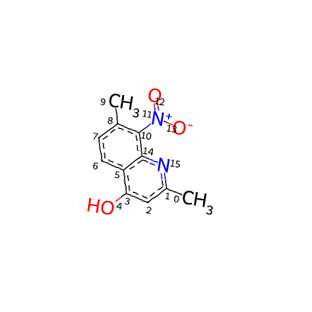 Cc1cc(O)c2ccc(C)c([N+](=O)[O-])c2n1